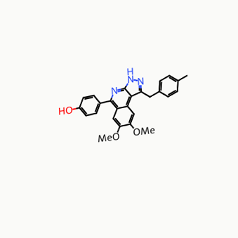 COc1cc2c(-c3ccc(O)cc3)nc3[nH]nc(Cc4ccc(C)cc4)c3c2cc1OC